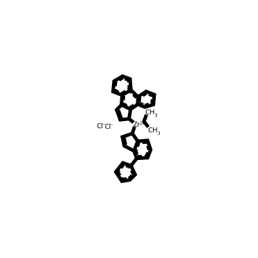 C[C](C)=[Zr+2]([CH]1C=Cc2c(-c3ccccc3)cccc21)[CH]1C=Cc2c1c1ccccc1c1ccccc21.[Cl-].[Cl-]